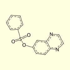 O=S(=O)(Oc1ccc2nccnc2c1)c1ccccc1